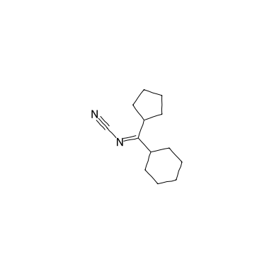 N#CN=C(C1CCCCC1)C1CCCC1